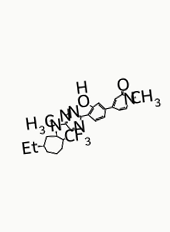 CC[C@@H]1CCC[C@H](C(F)(F)F)[C@H](N(C)c2cnc(-c3ccc(-c4ccn(C)c(=O)c4)cc3O)nn2)C1